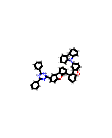 c1ccc(-c2nc(-c3ccccc3)nc(-c3ccc4oc5c(-c6cccc7oc8ccc(-n9c%10ccccc%10c%10ccccc%109)cc8c67)cccc5c4c3)n2)cc1